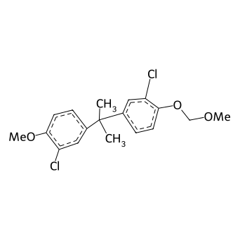 COCOc1ccc(C(C)(C)c2ccc(OC)c(Cl)c2)cc1Cl